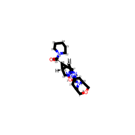 Cc1noc(N2C3COCC2CC(N2C[C@@H]4[C@H](C2)[C@H]4C(=O)N2CCCCC2)C3)n1